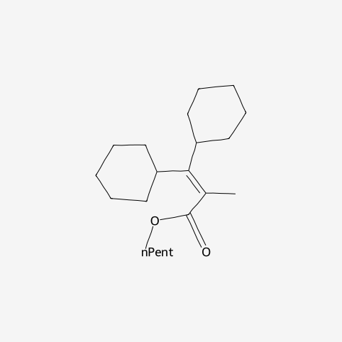 CCCCCOC(=O)C(C)=C(C1CCCCC1)C1CCCCC1